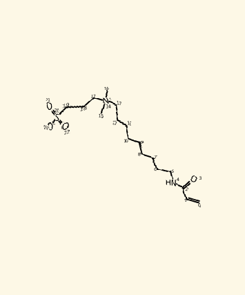 C=CC(=O)NCCCCCCCCC[N+](C)(C)CCCS(=O)(=O)[O-]